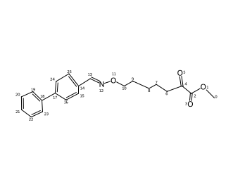 COC(=O)C(=O)CCCCCO/N=C/c1ccc(-c2ccccc2)cc1